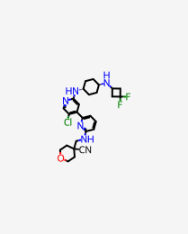 N#CC1(CNc2cccc(-c3cc(N[C@H]4CC[C@H](NC5CC(F)(F)C5)CC4)ncc3Cl)n2)CCOCC1